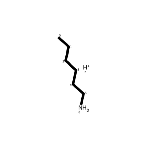 CCCCCCN.[H+]